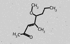 CCCC(OC)/C(C)=C/C(C)=O